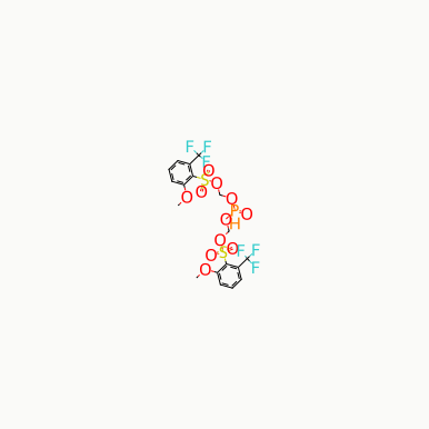 COc1cccc(C(F)(F)F)c1S(=O)(=O)OCO[PH](=O)OCOS(=O)(=O)c1c(OC)cccc1C(F)(F)F